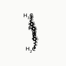 C=CCCCCc1ccc(C=NN=Cc2ccc(-c3ccc(CCCCC)cc3)c(F)c2)cc1